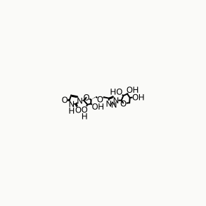 O=c1ccn([C@@H]2O[C@H](COCc3cn(C4OCC(O)C(O)C4O)nn3)C(O)C2O)c(=O)[nH]1